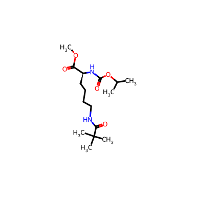 COC(=O)[C@H](CCCCNC(=O)C(C)(C)C)NC(=O)OC(C)C